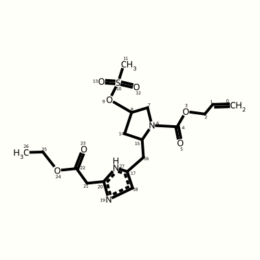 C=CCOC(=O)N1CC(OS(C)(=O)=O)CC1Cc1cnc(CC(=O)OCC)[nH]1